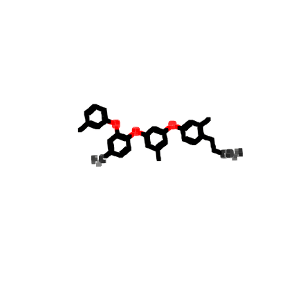 Cc1cccc(Oc2cc(C(F)(F)F)ccc2Oc2cc(C)cc(Oc3ccc(CCC(=O)O)c(C)c3)c2)c1